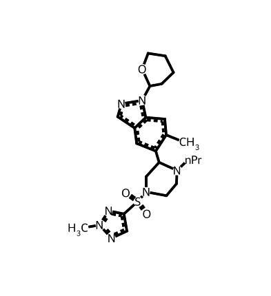 CCCN1CCN(S(=O)(=O)c2cnn(C)n2)CC1c1cc2cnn(C3CCCCO3)c2cc1C